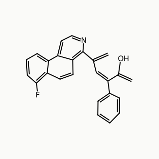 C=C(O)/C(=C\C(=C)c1nccc2c1ccc1c(F)cccc12)c1ccccc1